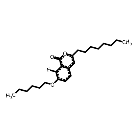 CCCCCCCCc1cc2ccc(OCCCCCC)c(F)c2c(=O)o1